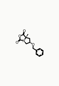 C[C@@]12C[C@@H](OCc3ccccc3)CN1C(=O)OC2=O